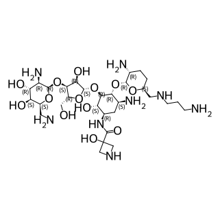 NCCCNC[C@@H]1CC[C@@H](N)[C@@H](O[C@H]2[C@H](O[C@@H]3O[C@H](CO)[C@@H](O[C@H]4O[C@@H](CN)[C@@H](O)[C@H](O)[C@H]4N)[C@H]3O)[C@@H](O)[C@H](NC(=O)C3(O)CNC3)C[C@@H]2N)O1